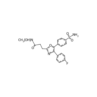 CN(O)C(=O)CCc1nc(-c2ccc(F)cc2)c(-c2ccc(S(N)(=O)=O)cc2)o1